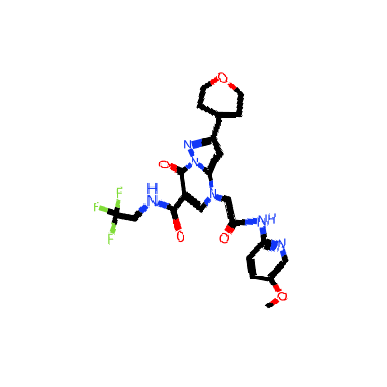 COc1ccc(NC(=O)Cn2cc(C(=O)NCC(F)(F)F)c(=O)n3nc(C4CCOCC4)cc23)nc1